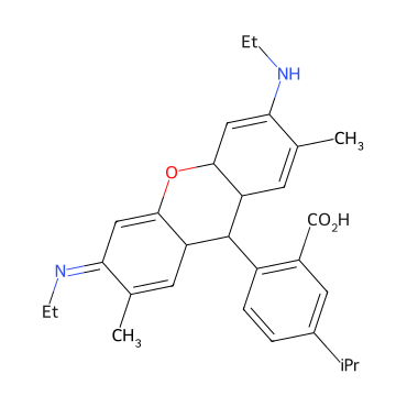 CC/N=C1/C=C2OC3C=C(NCC)C(C)=CC3C(c3ccc(C(C)C)cc3C(=O)O)C2C=C1C